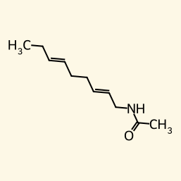 CCC=CCCC=CCNC(C)=O